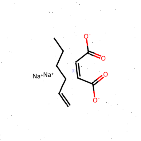 C=CCCCC.O=C([O-])/C=C\C(=O)[O-].[Na+].[Na+]